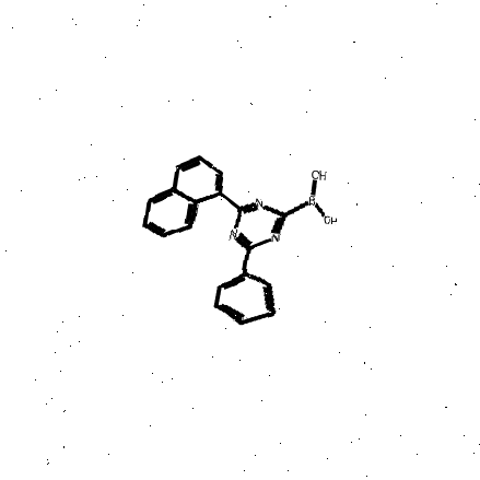 OB(O)c1nc(-c2ccccc2)nc(-c2cccc3ccccc23)n1